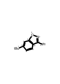 CC(C)c1noc2cc(C(C)(C)C)ccc12